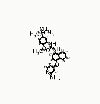 COc1ccc(C(C)(C)C)cc1NC(=O)Nc1ccc(Oc2ccnc(N)c2)c2ccccc12